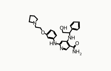 NC(=O)c1cnc(Nc2cccc(OCCN3CCCC3)c2)cc1NC(CO)c1ccccc1